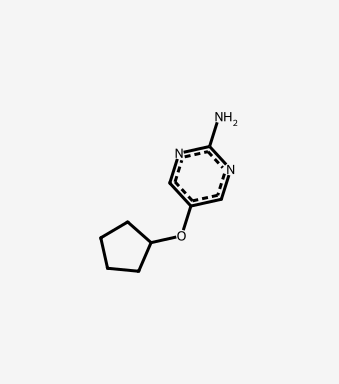 Nc1ncc(OC2CCCC2)cn1